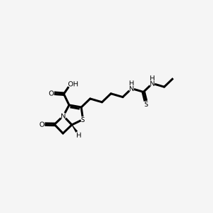 CCNC(=S)NCCCCC1=C(C(=O)O)N2C(=O)C[C@H]2S1